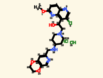 COc1ccc2ncc(Cl)c(C(O)CN3CCC(NCc4cc5c(cn4)OCCO5)CC3)c2n1.Cl.Cl